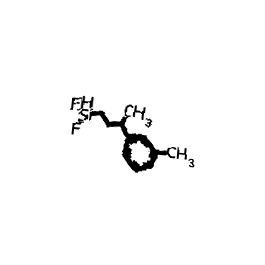 Cc1cccc(C(C)CC[SiH](F)F)c1